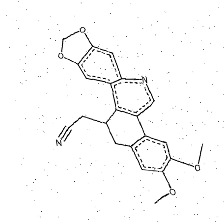 COc1cc2c(cc1OC)-c1cnc3cc4c(cc3c1C(CC#N)C2)OCO4